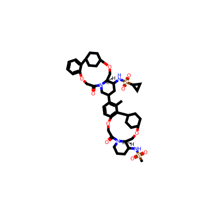 Cc1c(C2CC(NS(=O)(=O)C3CC3)[C@@H]3COC4CCC(CC4)c4ccccc4OCC(=O)N3C2)ccc2c1C1CCC(CC1)OC[C@H]1C(NS(C)(=O)=O)CCCN1C(=O)CO2